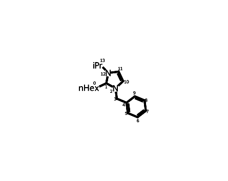 CCCCCCC1N(Cc2ccccc2)C=CN1C(C)C